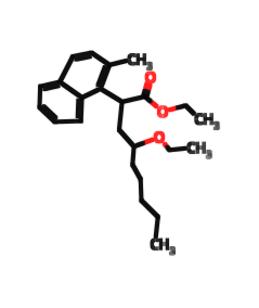 CCCCCC(CC(C(=O)OCC)c1c(C)ccc2ccccc12)OCC